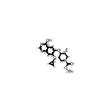 CC(C)(C)OC(=O)N1CC[C@@H](Oc2cc3c(O)ncnc3cc2OC2CC2)[C@H](F)C1